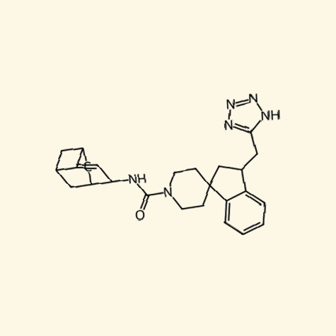 O=C(NC1C=C2C3CC2CC1C3)N1CCC2(CC1)CC(Cc1nnn[nH]1)c1ccccc12